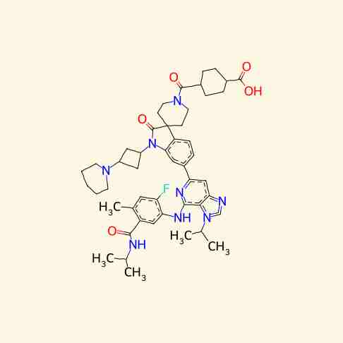 Cc1cc(F)c(Nc2nc(-c3ccc4c(c3)N(C3CC(N5CCCCC5)C3)C(=O)C43CCN(C(=O)C4CCC(C(=O)O)CC4)CC3)cc3ncn(C(C)C)c23)cc1C(=O)NC(C)C